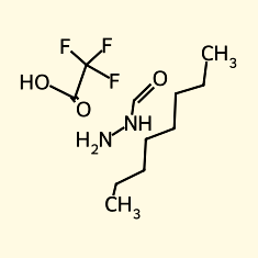 CCCCCCCC.NNC=O.O=C(O)C(F)(F)F